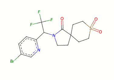 O=C1N(C(c2ccc(Br)cn2)C(F)(F)F)CCC12CCS(=O)(=O)CC2